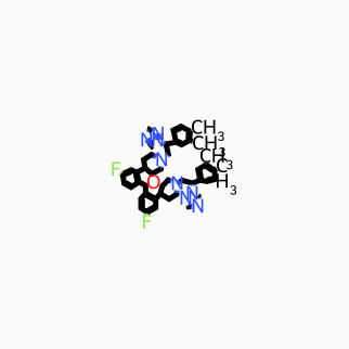 Cc1ccc(C(CN2CCC(c3cc(F)ccc3C(=O)c3ccc(F)cc3C3CCN(CC(c4ccc(C)c(C)c4)n4cncn4)CC3)CC2)n2cncn2)cc1C